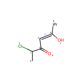 CC(Cl)C(=O)/C=C(\O)C(C)C